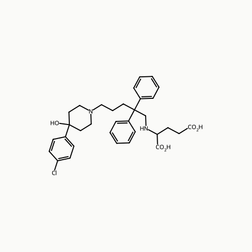 O=C(O)CCC(NCC(CCCN1CCC(O)(c2ccc(Cl)cc2)CC1)(c1ccccc1)c1ccccc1)C(=O)O